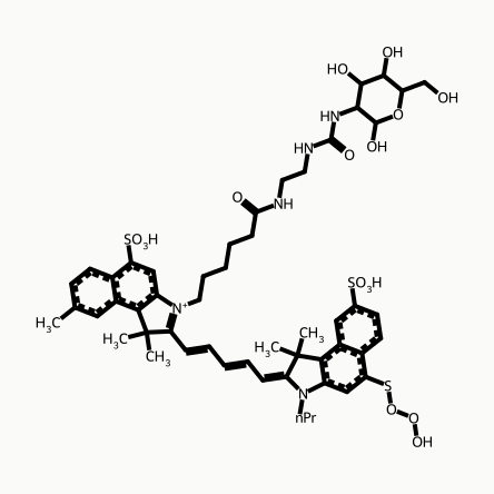 CCCN1/C(=C/C=C/C=C/C2=[N+](CCCCCC(=O)NCCNC(=O)NC3C(O)OC(CO)C(O)C3O)c3cc(S(=O)(=O)O)c4ccc(C)cc4c3C2(C)C)C(C)(C)c2c1cc(SOOO)c1ccc(S(=O)(=O)O)cc21